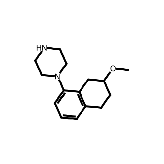 COC1CCc2cccc(N3CCNCC3)c2C1